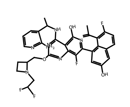 C=C(C)c1c(F)ccc2cc(O)cc(-c3nc(O)c4c(NC(C)c5cccnc5N)nc(OCC5CCN5CC(F)F)nc4c3F)c12